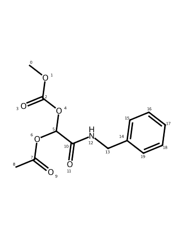 COC(=O)OC(OC(C)=O)C(=O)NCc1ccccc1